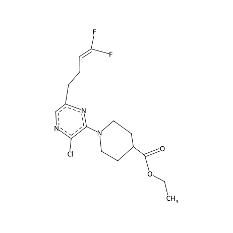 CCOC(=O)C1CCN(c2nc(CCC=C(F)F)cnc2Cl)CC1